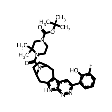 CC(C)(C)OC(=O)N1CCN(C(=O)N2C3CCC2Cc2c([nH]c4nnc(-c5cccc(F)c5O)cc24)C3)C(C)(C)C1